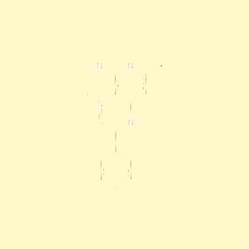 Nc1nc(C(F)(F)F)cc(NCc2ccccc2)c1[N+](=O)[O-]